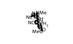 CNc1nc(Nc2cc(C#N)cc(N3CCN(C(=O)OC)C[C@@H]3C)c2Cl)nc2c(C#N)cnn12